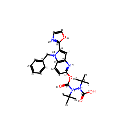 CC(C)(C)N(C(=O)O)N(C(=O)Oc1ccc2c(cc(-c3ncco3)n2Cc2ccccc2)n1)C(C)(C)C